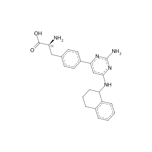 Nc1nc(NC2CCCc3ccccc32)cc(-c2ccc(C[C@H](N)C(=O)O)cc2)n1